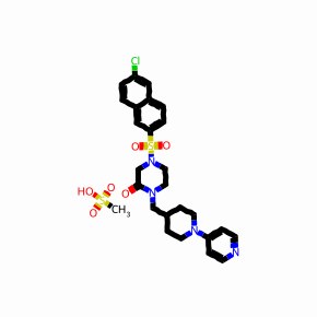 CS(=O)(=O)O.O=C1CN(S(=O)(=O)c2ccc3cc(Cl)ccc3c2)CCN1CC1CCN(c2ccncc2)CC1